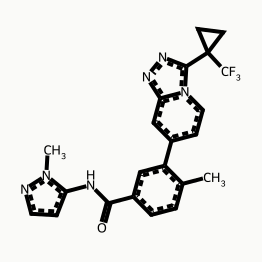 Cc1ccc(C(=O)Nc2ccnn2C)cc1-c1ccn2c(C3(C(F)(F)F)CC3)nnc2c1